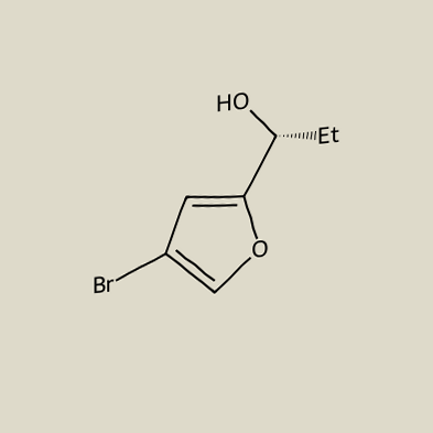 CC[C@@H](O)c1cc(Br)co1